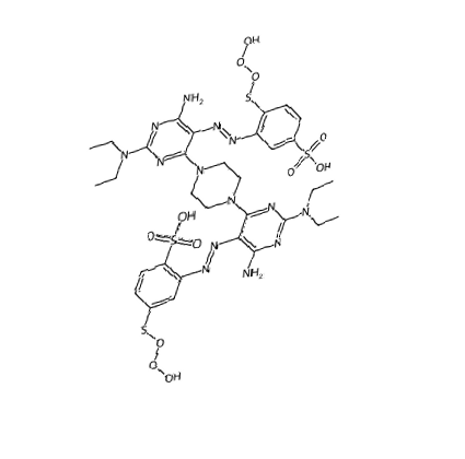 CCN(CC)c1nc(N)c(/N=N/c2cc(S(=O)(=O)O)ccc2SOOO)c(N2CCN(c3nc(N(CC)CC)nc(N)c3/N=N/c3cc(SOOO)ccc3S(=O)(=O)O)CC2)n1